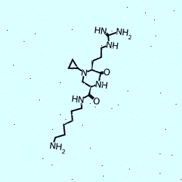 N=C(N)NCCC[C@H]1C(=O)N[C@@H](C(=O)NCCCCCCN)CN1C1CC1